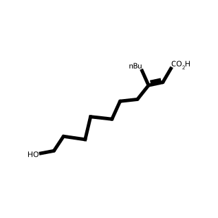 CCCC/C(=C\C(=O)O)CCCCCCCO